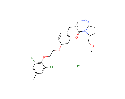 COCC1CCCN1C(=O)[C@@H](CN)Cc1ccc(OCCOc2c(Cl)cc(C)cc2Cl)cc1.Cl